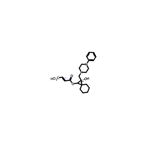 O=C(O)/C=C/C(=O)OC1C2(CCCCC2)[C@]1(O)CN1CCN(c2ccccc2)CC1